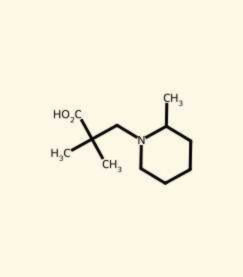 CC1CCCCN1CC(C)(C)C(=O)O